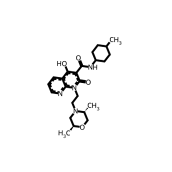 CC1CCC(NC(=O)c2c(O)c3cccnc3n(CCN3C[C@H](C)OC[C@H]3C)c2=O)CC1